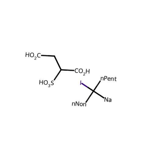 CCCCCCCCC[C]([Na])(I)CCCCC.O=C(O)CC(C(=O)O)S(=O)(=O)O